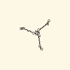 O=C=NCCCCCCOc1nc(OCCCCCCN=C=O)nc(OCCCCCCN=C=O)n1